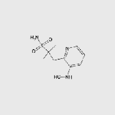 CC(C)(Cc1ncccc1NO)S(N)(=O)=O